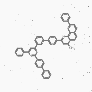 Cc1cc(-c2ccc(-c3cccc(-c4cc(-c5ccccc5)nc(-c5ccc(-c6ccccc6)cc5)n4)c3)cc2)nc2c1ccc1ccc(-c3ccccc3)nc12